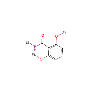 CCOc1cccc(OCC)c1C(=O)PCC